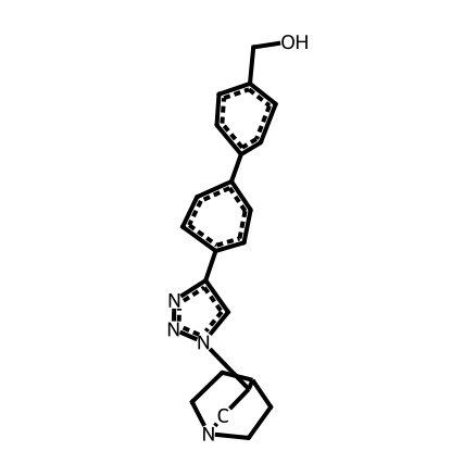 OCc1ccc(-c2ccc(-c3cn(C4CN5CCC4CC5)nn3)cc2)cc1